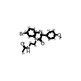 COc1ccc(-c2nc3ccc(Br)cc3n(CCNC(C)=O)c2=O)cc1